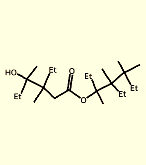 CCC(C)(C)C(C)(CC)C(C)(CC)OC(=O)CC(C)(CC)C(C)(O)CC